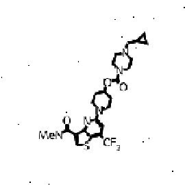 CNC(=O)c1csc2c(C(F)(F)F)cc(N3CCC(OC(=O)N4CCN(CC5CC5)CC4)CC3)nc12